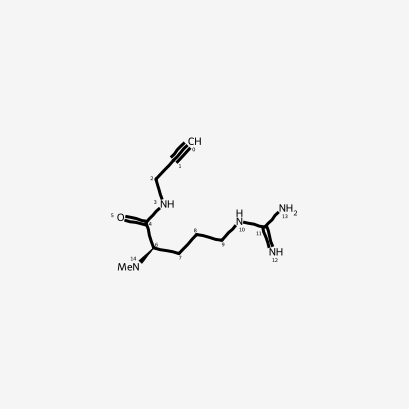 C#CCNC(=O)[C@@H](CCCNC(=N)N)NC